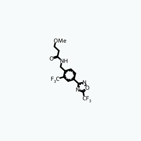 COCCC(=O)NCc1ccc(-c2noc(C(F)(F)F)n2)cc1C(F)(F)F